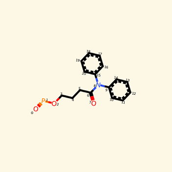 O=POCCCC(=O)N(c1ccccc1)c1ccccc1